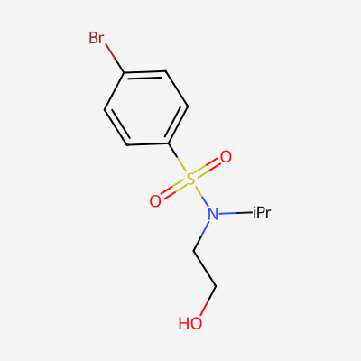 CC(C)N(CCO)S(=O)(=O)c1ccc(Br)cc1